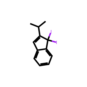 CC(C)C1=Cc2ccccc2C1(I)I